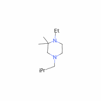 CCN1CCN(CC(C)C)CC1(C)C